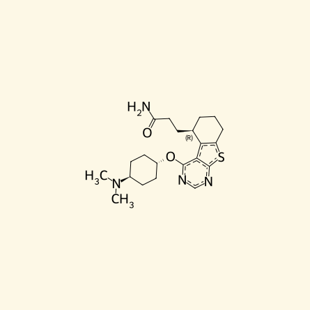 CN(C)[C@H]1CC[C@H](Oc2ncnc3sc4c(c23)[C@@H](CCC(N)=O)CCC4)CC1